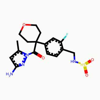 Cc1cc(N)nn1C(=O)C1(c2ccc(CN[SH](=O)=O)c(F)c2)CCOCC1